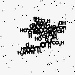 Nc1nc2ncc(CNc3ccc(C(=O)N[C@@H](CCC(=O)N[C@H](C(=O)N[C@@H](CC(=O)O)C(=O)N[C@H](C(=O)N[C@H](C(=O)N[C@@H](CS)C(=O)O)[C@@H](O)[C@H](O)[C@H](O)CO)[C@@H](O)[C@H](O)[C@H](O)CO)[C@@H](O)[C@H](O)[C@H](O)CO)C(=O)O)cc3)nc2c(=O)[nH]1